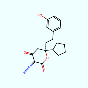 [N-]=[N+]=C1C(=O)C[C@@](CCc2cccc(O)c2)(C2CCCC2)OC1=O